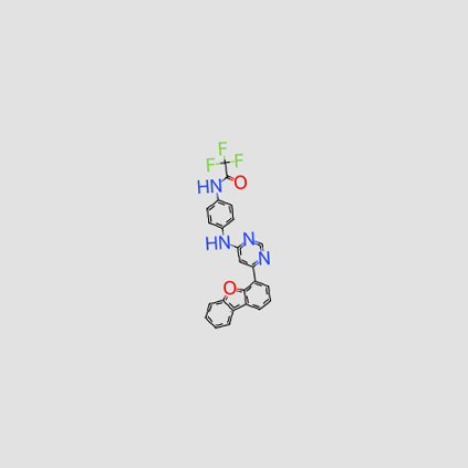 O=C(Nc1ccc(Nc2cc(-c3cccc4c3oc3ccccc34)ncn2)cc1)C(F)(F)F